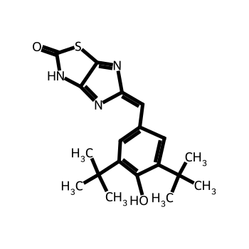 CC(C)(C)c1cc(C=C2N=c3[nH]c(=O)sc3=N2)cc(C(C)(C)C)c1O